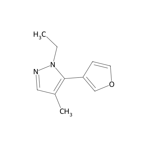 CCn1ncc(C)c1-c1ccoc1